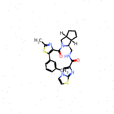 Cc1cccc(-c2sc(C)nc2C(=O)N2C[C@@H]3CCC[C@@H]3[C@H]2CNC(=O)c2cn3ccsc3n2)c1